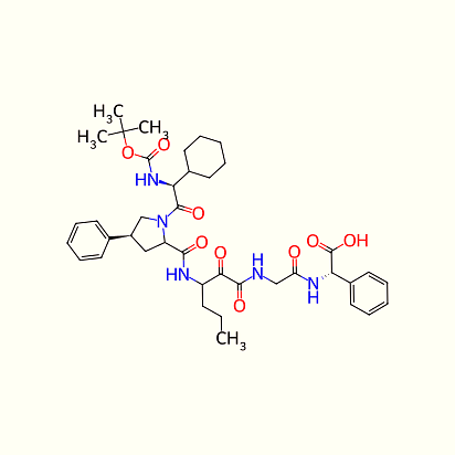 CCCC(NC(=O)C1C[C@@H](c2ccccc2)CN1C(=O)[C@@H](NC(=O)OC(C)(C)C)C1CCCCC1)C(=O)C(=O)NCC(=O)N[C@H](C(=O)O)c1ccccc1